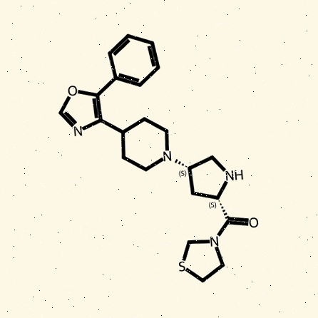 O=C([C@@H]1C[C@H](N2CCC(c3ncoc3-c3ccccc3)CC2)CN1)N1CCSC1